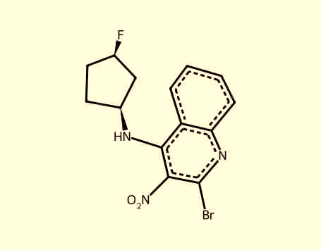 O=[N+]([O-])c1c(Br)nc2ccccc2c1N[C@H]1CC[C@@H](F)C1